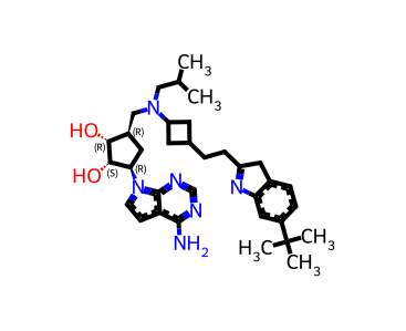 CC(C)CN(C[C@H]1C[C@@H](n2ccc3c(N)ncnc32)[C@H](O)[C@@H]1O)C1CC(CCC2=Nc3cc(C(C)(C)C)ccc3C2)C1